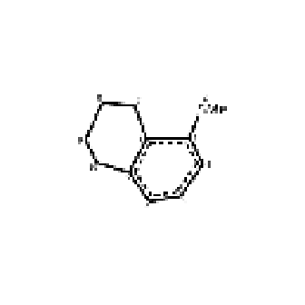 CSc1cccc2c1CCCC2